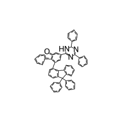 c1ccc(C2=NC(c3ccccc3)NC(c3cc(-c4cccc5c4-c4ccccc4C5(c4ccccc4)c4ccccc4)c4c(c3)oc3ccccc34)=N2)cc1